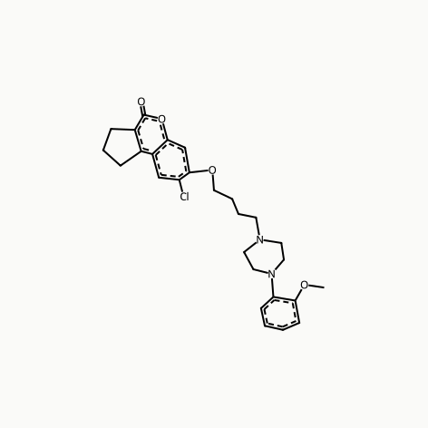 COc1ccccc1N1CCN(CCCCOc2cc3oc(=O)c4c(c3cc2Cl)CCC4)CC1